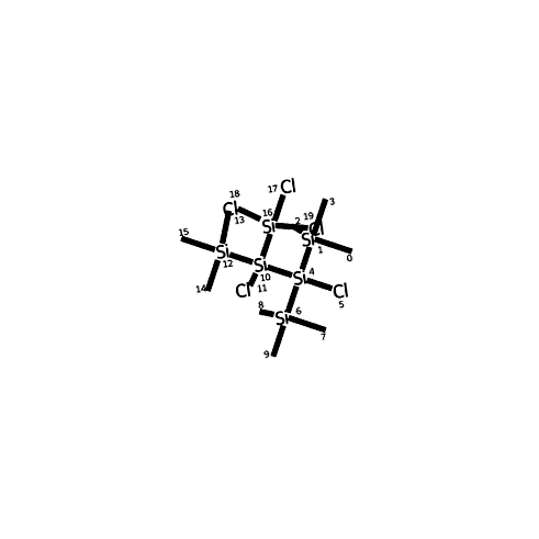 C[Si](C)(C)[Si](Cl)([Si](C)(C)C)[Si](Cl)([Si](C)(C)C)[Si](Cl)(Cl)Cl